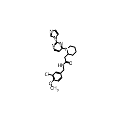 COc1ccc(CNC(=O)CC2CCCCN2c2ccnc(-n3ccnc3)n2)cc1Cl